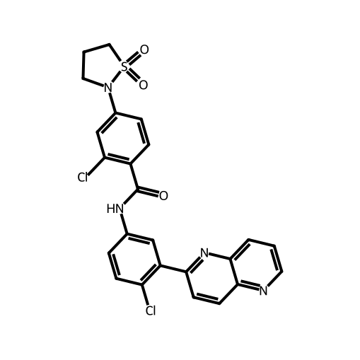 O=C(Nc1ccc(Cl)c(-c2ccc3ncccc3n2)c1)c1ccc(N2CCCS2(=O)=O)cc1Cl